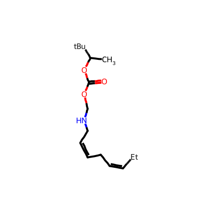 CC/C=C\C/C=C\CNCOC(=O)OC(C)C(C)(C)C